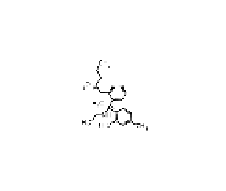 CCC[C@@H](C)Cc1ccccc1[C@](C)(NCC)c1ccc(C)cc1C